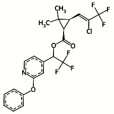 CC1(C)[C@H](C(=O)OC(c2ccnc(Oc3ccccc3)c2)C(F)(F)F)[C@@H]1C=C(Cl)C(F)(F)F